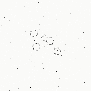 Cc1ccnc(-c2ccc3nc(-c4cccnc4N)n(-c4ccc(CO[Si](C)(C)C(C)(C)C)cc4)c3n2)c1